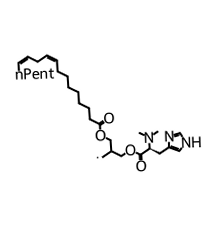 [CH2]C(COC(=O)CCCCCCC/C=C\C/C=C\CCCCC)COC(=O)[C@H](Cc1c[nH]cn1)N(C)C